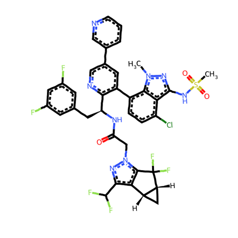 Cn1nc(NS(C)(=O)=O)c2c(Cl)ccc(-c3cc(-c4cccnc4)cnc3[C@H](Cc3cc(F)cc(F)c3)NC(=O)Cn3nc(C(F)F)c4c3C(F)(F)[C@@H]3C[C@H]43)c21